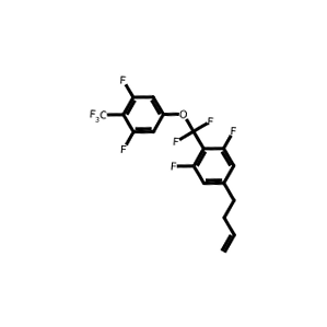 C=CCCc1cc(F)c(C(F)(F)Oc2cc(F)c(C(F)(F)F)c(F)c2)c(F)c1